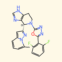 Cc1cccc2cc([C@@H]3c4nc[nH]c4CCN3c3nnc(-c4c(F)cccc4F)o3)nn12